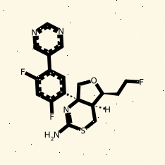 NC1=N[C@@]2(c3cc(-c4cncnc4)c(F)cc3F)CO[C@@H](CCF)[C@H]2CS1